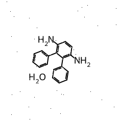 Nc1ccc(N)c(-c2ccccc2)c1-c1ccccc1.O